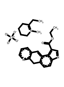 CCC1=[N+](C)CCCC1.CCOC(=O)C1=c2c(ccc3c2=Cc2cccnc2C3)N=C1.[O-][Cl+3]([O-])([O-])[O-]